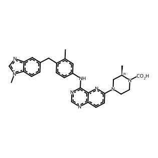 Cc1cc(Nc2ncnc3ccc(N4CCN(C(=O)O)[C@H](C)C4)nc23)ccc1Cc1ccc2c(c1)ncn2C